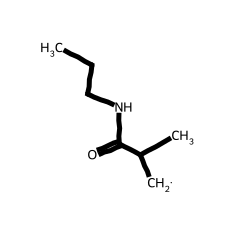 [CH2]C(C)C(=O)NCCC